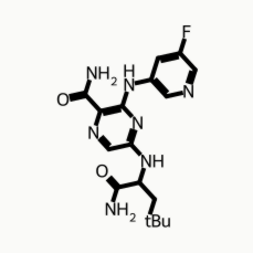 CC(C)(C)CC(Nc1cnc(C(N)=O)c(Nc2cncc(F)c2)n1)C(N)=O